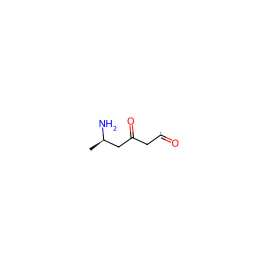 C[C@@H](N)CC(=O)C[C]=O